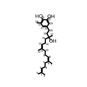 CC(C)=CCCC(C)=CCCC(C)=CCCC(C)(O)CCc1cc(C)c(O)c(O)c1